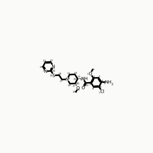 COc1cc(N)c(Cl)cc1C(=O)N[C@H]1CCN(CCSc2ncccn2)C[C@H]1OC